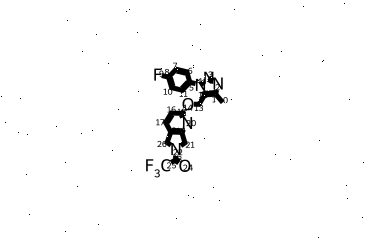 Cc1nnn(-c2ccc(F)cc2)c1COc1ccc2c(n1)CN(C(=O)C(F)(F)F)C2